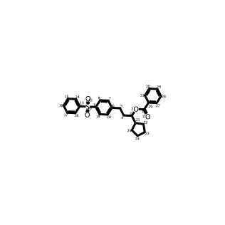 O=C(OC(CCc1ccc(S(=O)(=O)c2ccccc2)cc1)C1CCCC1)c1ccccc1